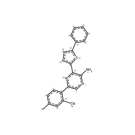 Cc1ccc(-c2cnc(N)c(-c3nnc(-c4ccccc4)s3)n2)c(C#N)c1